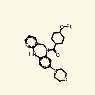 CCOC1CCC(C(=O)N2Cc3cccnc3Nc3ccc(N4CCOCC4)cc32)CC1